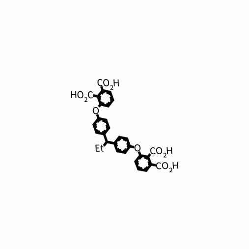 CCC(c1ccc(Oc2cccc(C(=O)O)c2C(=O)O)cc1)c1ccc(Oc2cccc(C(=O)O)c2C(=O)O)cc1